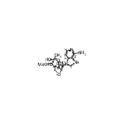 COC[C@@]12COC([C@H](n3cnc4c(N)ncnc43)O1)[C@H]2OP(C)(=O)O